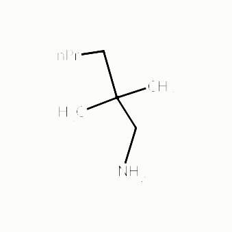 [CH2]CCCC(C)(C)CN